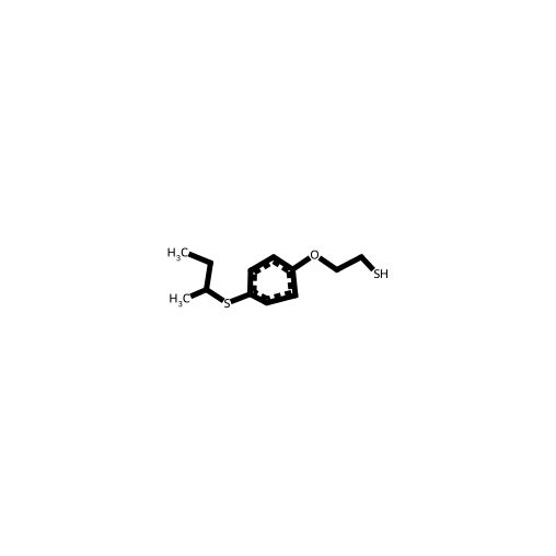 CCC(C)Sc1ccc(OCCS)cc1